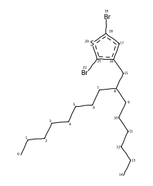 CCCCCCCCC(CCCCCC)Cc1cc(Br)sc1Br